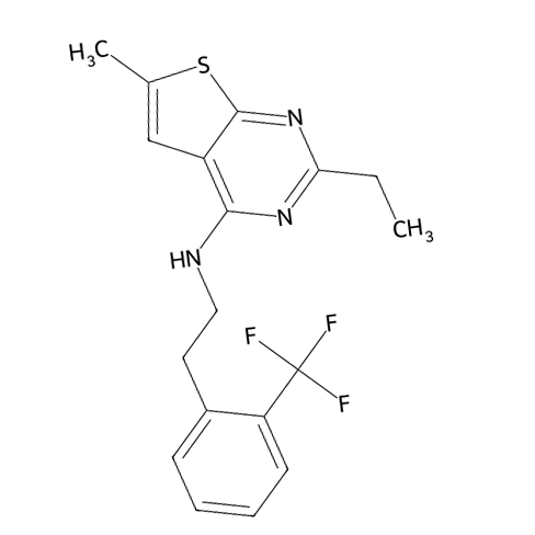 CCc1nc(NCCc2ccccc2C(F)(F)F)c2cc(C)sc2n1